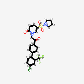 O=C(Cn1cc(S(=O)(=O)N2CCCC2)ccc1=O)c1ccc(-c2ccc(Cl)cc2C(F)(F)F)cc1